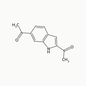 CC(=O)c1ccc2cc(C(C)=O)[nH]c2c1